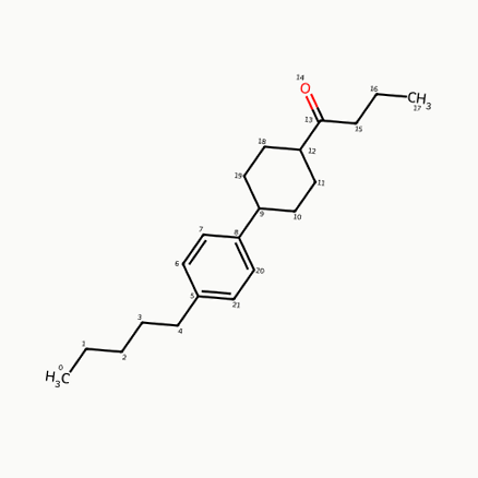 CCCCCc1ccc(C2CCC(C(=O)CCC)CC2)cc1